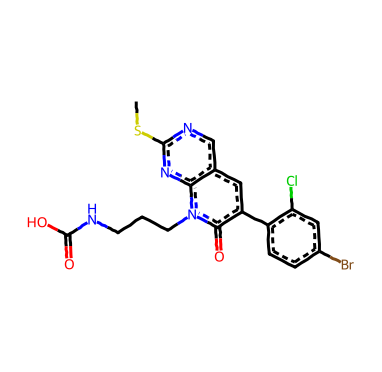 CSc1ncc2cc(-c3ccc(Br)cc3Cl)c(=O)n(CCCNC(=O)O)c2n1